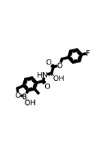 Cc1c(C(=O)N[C@@H](O)C(=O)OCc2ccc(F)cc2)ccc2c1B(O)OC2